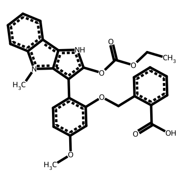 CCOC(=O)Oc1[nH]c2c3ccccc3n(C)c2c1-c1ccc(OC)cc1OCc1ccccc1C(=O)O